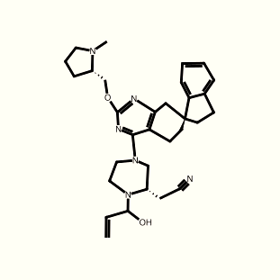 C=CC(O)N1CCN(c2nc(OC[C@@H]3CCCN3C)nc3c2CC[C@@]2(CCc4ccccc42)C3)C[C@@H]1CC#N